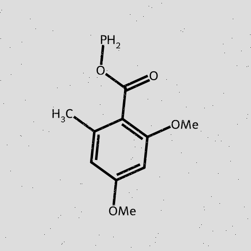 COc1cc(C)c(C(=O)OP)c(OC)c1